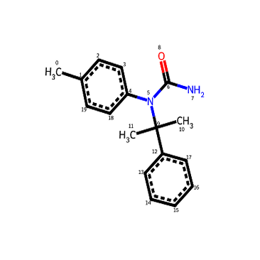 Cc1ccc(N(C(N)=O)C(C)(C)c2ccccc2)cc1